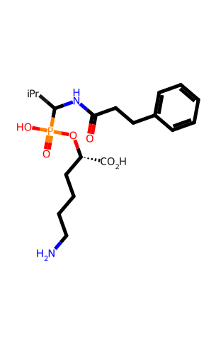 CC(C)C(NC(=O)CCc1ccccc1)P(=O)(O)O[C@@H](CCCCN)C(=O)O